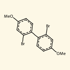 COc1ccc(-c2ccc(OC)cc2Br)c(Br)c1